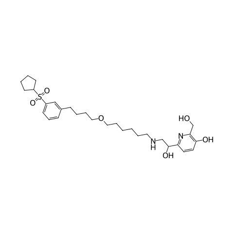 O=S(=O)(c1cccc(CCCCOCCCCCCNCC(O)c2ccc(O)c(CO)n2)c1)C1CCCC1